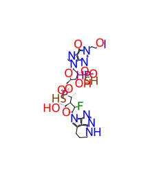 C[C@H]([C@H]1[C@@H](F)[C@H](n2cc3c4c(ncnc42)NCCC3)O[C@@H]1CO)[P@](=O)(S)OC[C@H]1O[C@@H](n2cnc3c(=O)n(CCOI)cnc32)[C@H](O[PH](=O)S)[C@@H]1O